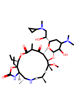 CC[C@H]1OC(=O)C(C)C(=O)[C@H](C)[C@@H](O[C@@H]2O[C@H](C(O)CN(C)C3CC3)CC(N(C)C)C2O)[C@](C)(OC)C[C@@H](C)CN[C@H](C)[C@H]2NC(=O)O[C@@]21CC